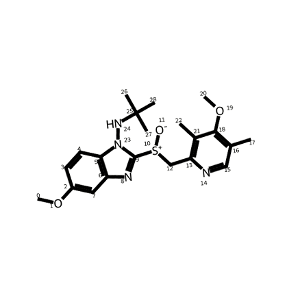 COc1ccc2c(c1)nc([S+]([O-])Cc1ncc(C)c(OC)c1C)n2NC(C)(C)C